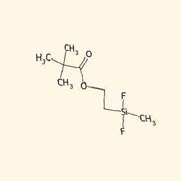 CC(C)(C)C(=O)OCC[Si](C)(F)F